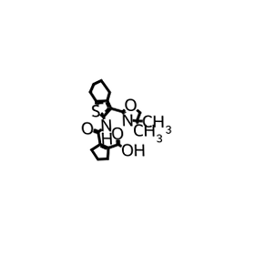 CC1(C)COC(c2c(NC(=O)C3=C(C(=O)O)CCC3)sc3c2CCCC3)=N1